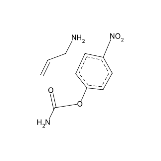 C=CCN.NC(=O)Oc1ccc([N+](=O)[O-])cc1